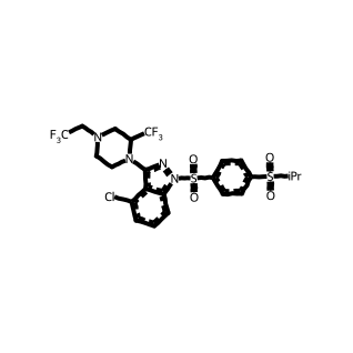 CC(C)S(=O)(=O)c1ccc(S(=O)(=O)n2nc(N3CCN(CC(F)(F)F)CC3C(F)(F)F)c3c(Cl)cccc32)cc1